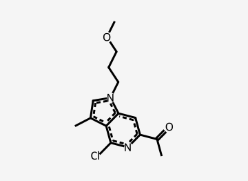 COCCCn1cc(C)c2c(Cl)nc(C(C)=O)cc21